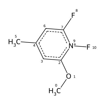 COc1cc(C)cc(F)[n+]1F